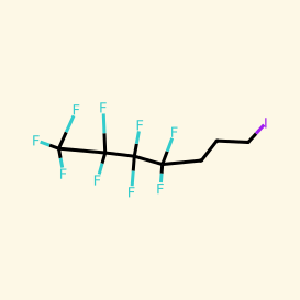 FC(F)(F)C(F)(F)C(F)(F)C(F)(F)CCCI